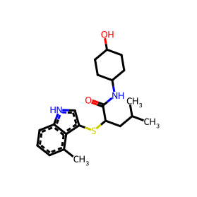 Cc1cccc2[nH]cc(SC(CC(C)C)C(=O)NC3CCC(O)CC3)c12